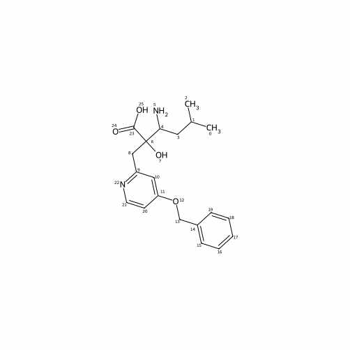 CC(C)CC(N)C(O)(Cc1cc(OCc2ccccc2)ccn1)C(=O)O